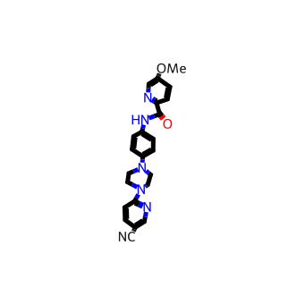 COc1ccc(C(=O)Nc2ccc(N3CCN(c4ccc(C#N)cn4)CC3)cc2)nc1